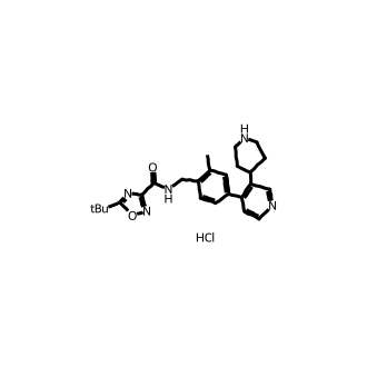 Cc1cc(-c2ccncc2C2CCNCC2)ccc1CNC(=O)c1noc(C(C)(C)C)n1.Cl